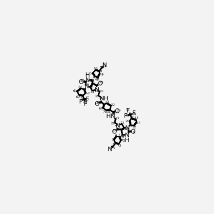 N#Cc1ccc([C@H]2NC(=O)N(c3cccc(C(F)(F)F)c3)C3=C2C(=O)N(CCNC(=O)c2ccc(C(=O)NCCN4CC5=C(C4=O)[C@@H](c4ccc(C#N)cc4)NC(=O)N5c4cccc(C(F)(F)F)c4)cc2)C3)cc1